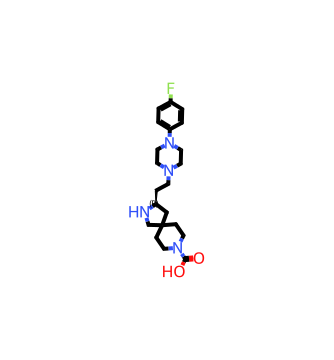 O=C(O)N1CCC2(CC1)CN[C@@H](CCN1CCN(c3ccc(F)cc3)CC1)C2